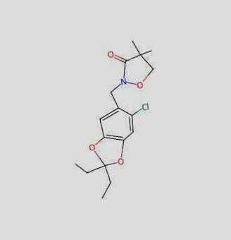 CCC1(CC)Oc2cc(Cl)c(CN3OCC(C)(C)C3=O)cc2O1